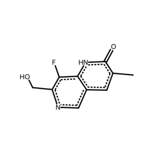 Cc1cc2cnc(CO)c(F)c2[nH]c1=O